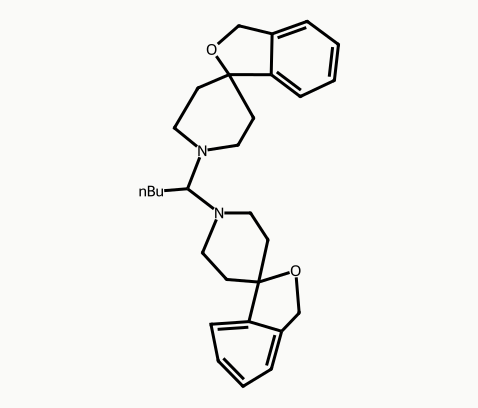 CCCCC(N1CCC2(CC1)OCc1ccccc12)N1CCC2(CC1)OCc1ccccc12